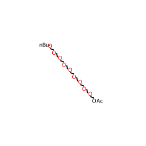 CCCCOCCOCCOCCOCCOCCOCCOCCOCCOCCOC(C)=O